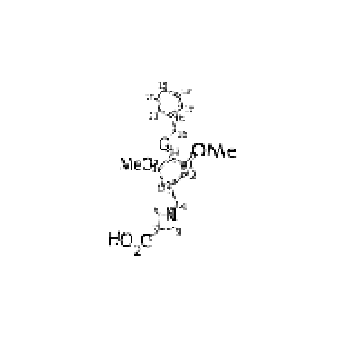 COc1cc(CN2CC(C(=O)O)C2)cc(OC)c1OCc1ccccc1